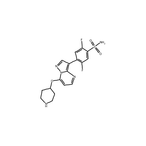 NS(=O)(=O)c1cc(F)c(-c2cnn3c(OC4CCNCC4)ccnc23)cc1F